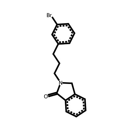 O=C1c2ccccc2CN1CCCc1cccc(Br)c1